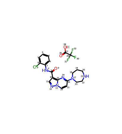 O=C(Nc1ccccc1Cl)c1cnn2ccc(N3CCCNCC3)nc12.O=C(O)C(F)(F)F